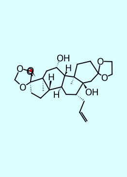 C=CC[C@@H]1C[C@@H]2[C@H]([C@@H](O)C[C@@]3(C)[C@H]2CC[C@@]32OCOC23COCO3)[C@@]2(C)CCC3(C[C@]12O)OCCO3